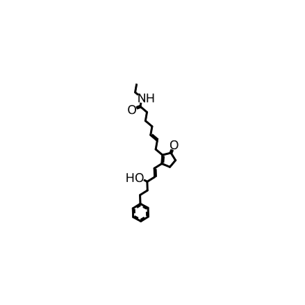 CCNC(=O)CCCC=CCC1=C(C=CC(O)CCc2ccccc2)CCC1=O